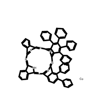 [Co].c1ccc(-c2ccc3c(c2-c2ccccc2)-c2nc-3nc3[nH]c(nc4nc(nc5[nH]c(n2)c2c(-c6ccccc6)c(-c6ccccc6)c(-c6ccccc6)c(-c6ccccc6)c52)-c2ccccc2-4)c2ccccc32)cc1